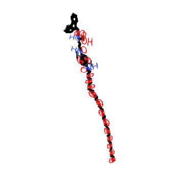 COCCOCCOCCOCCOCCOCCOCCOCCOCCOCCOCCOCCC(=O)N[C@H]1CO[C@H]2[C@@H]1OC[C@@H]2NC(=O)CCC[C@H](NC(=O)OCC1c2ccccc2-c2ccccc21)C(=O)O